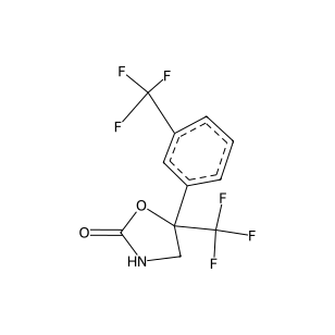 O=C1NCC(c2cccc(C(F)(F)F)c2)(C(F)(F)F)O1